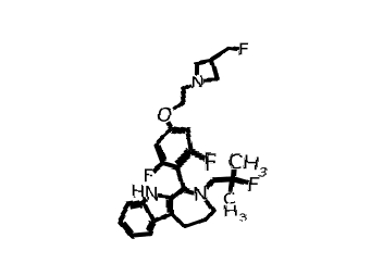 CC(C)(F)CN1CCCc2c([nH]c3ccccc23)C1c1c(F)cc(OCCN2CC(CF)C2)cc1F